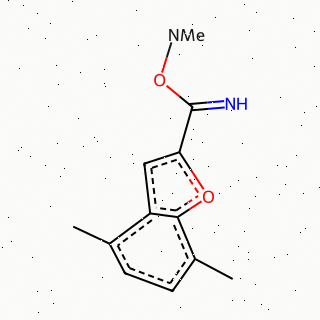 CNOC(=N)c1cc2c(C)ccc(C)c2o1